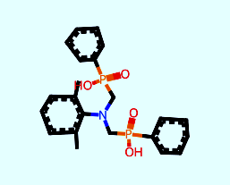 Cc1cccc(C)c1N(CP(=O)(O)c1ccccc1)CP(=O)(O)c1ccccc1